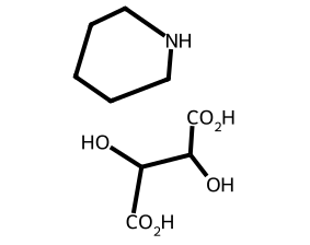 C1CCNCC1.O=C(O)C(O)C(O)C(=O)O